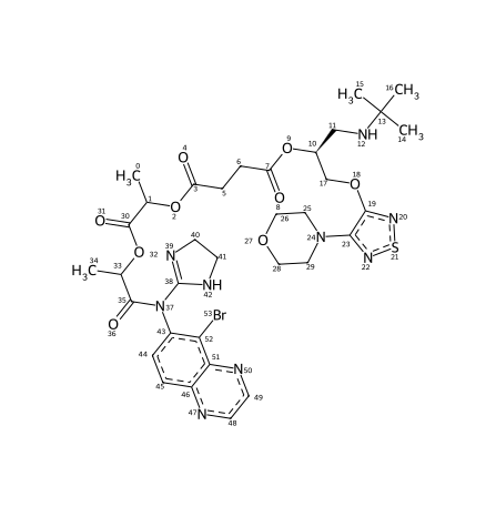 CC(OC(=O)CCC(=O)O[C@@H](CNC(C)(C)C)COc1nsnc1N1CCOCC1)C(=O)OC(C)C(=O)N(C1=NCCN1)c1ccc2nccnc2c1Br